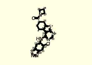 O=C([C@H]1CCc2c(sc3ncnc(Nc4cc5snnc5cc4Cl)c23)C1)N1CCC1